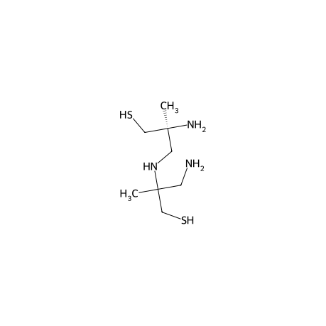 CC(CN)(CS)NC[C@](C)(N)CS